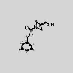 N#CC=C1CN(C(=O)OCc2ccccc2)C1